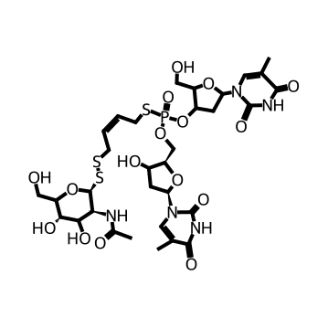 CC(=O)N[C@H]1C(O)[C@H](O)C(CO)O[C@H]1SSC/C=C\CSP(=O)(OC[C@H]1O[C@@H](n2cc(C)c(=O)[nH]c2=O)CC1O)OC1CC(n2cc(C)c(=O)[nH]c2=O)OC1CO